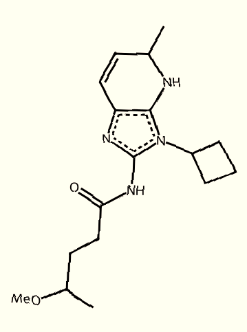 COC(C)CCC(=O)Nc1nc2c(n1C1CCC1)NC(C)C=C2